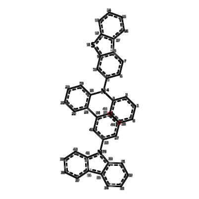 c1ccc(N(c2ccc3c(c2)sc2ccccc23)c2ccccc2-c2cccc(-n3c4ccccc4c4ccccc43)c2)cc1